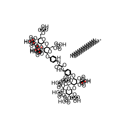 O=C(Nc1ccc(O[C@@H]2O[C@H](COS(=O)(=O)O)[C@@H](O[C@H]3O[C@H](COS(=O)(=O)O)[C@@H](OS(=O)(=O)O)[C@H](OS(=O)(=O)O)[C@H]3OS(=O)(=O)O)[C@H](OS(=O)(=O)O)[C@H]2OS(=O)(=O)O)cc1)C(=O)Nc1ccc(O[C@@H]2O[C@H](COS(=O)(=O)O)[C@@H](O[C@H]3O[C@H](COS(=O)(=O)O)[C@@H](OS(=O)(=O)O)[C@H](OS(=O)(=O)O)[C@H]3OS(=O)(=O)O)[C@H](OS(=O)(=O)O)[C@H]2OS(=O)(=O)O)cc1.[Na+].[Na+].[Na+].[Na+].[Na+].[Na+].[Na+].[Na+].[Na+].[Na+].[Na+].[Na+].[Na+].[Na+]